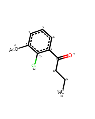 CC(=O)Oc1cccc(C(=O)CCC#N)c1Cl